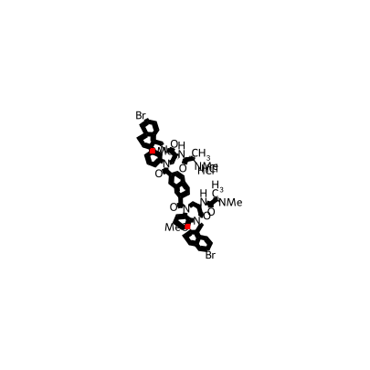 CN[C@@H](C)C(=O)N[C@H]1CN(C(=O)c2ccc3ccc(C(=O)N4C[C@H](NC(=O)[C@H](C)NC)C(=O)N(Cc5c(OC)ccc6cc(Br)ccc56)c5ccccc54)cc3c2)c2ccccc2N(Cc2c(OC)ccc3cc(Br)ccc23)C1=O.Cl.Cl